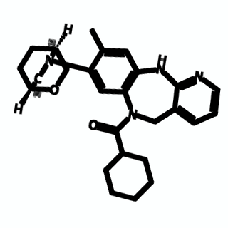 Cc1cc2c(cc1N1C[C@H]3CC[C@H]1CO3)N(C(=O)C1CCCCC1)Cc1cccnc1N2